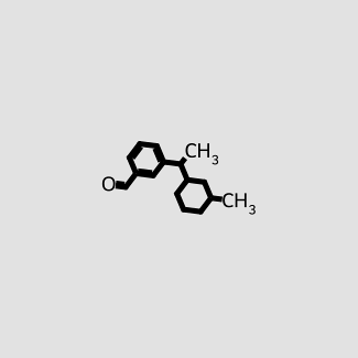 CC1CCCC(C(C)c2cccc(C=O)c2)C1